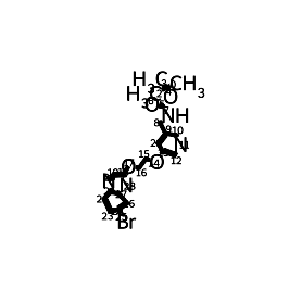 CC(C)(C)OC(=O)NCc1cncc(OCCOc2cnc3ccc(Br)cc3n2)c1